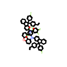 C=CC1=CC=C(C2(c3ccc(F)cc3)c3cc(N(C4=CC=CC5OC6C=CC=C(CN(c7ccc8c(c7)C(c7ccc(C=C)cc7)(C7C=CC(F)=CC7)C7=C8C=CCC7)c7cc(F)c(F)cc7F)C6C45)c4cc(F)c(F)cc4F)ccc3C3C=CCCC32)CC1